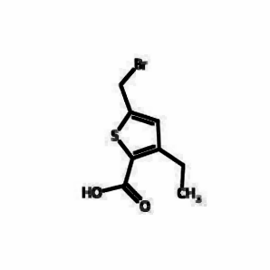 CCc1cc(CBr)sc1C(=O)O